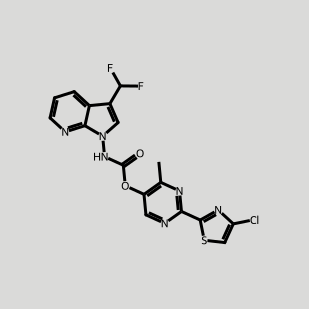 Cc1nc(-c2nc(Cl)cs2)ncc1OC(=O)Nn1cc(C(F)F)c2cccnc21